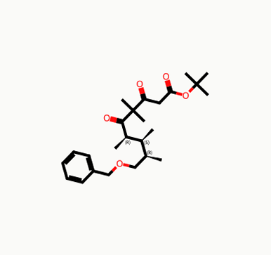 C[C@@H]([C@@H](C)COCc1ccccc1)[C@@H](C)C(=O)C(C)(C)C(=O)CC(=O)OC(C)(C)C